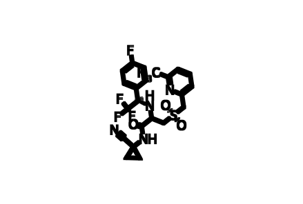 Cc1cccc(CS(=O)(=O)CC(N[C@H](c2ccc(F)cc2)C(F)(F)F)C(=O)NC2(C#N)CC2)n1